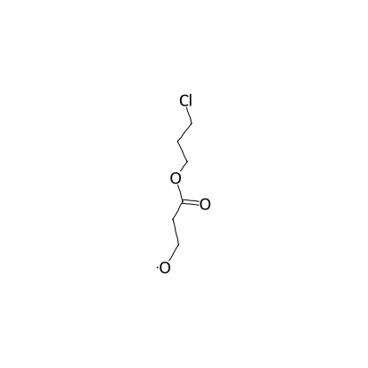 [O]CCC(=O)OCCCCl